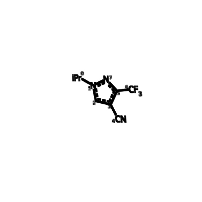 CC(C)n1cc(C#N)c(C(F)(F)F)n1